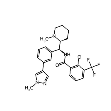 CN1CCCC[C@H]1[C@@H](NC(=O)c1cccc(C(F)(F)F)c1Cl)c1cccc(-c2cnn(C)c2)c1